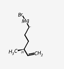 C=C[C@@H](C)CC[CH][Mg][Br]